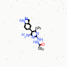 CCCc1nc(NNC(=O)C(C)(C)C)nc(N)c1-c1ccc2[nH]ncc2c1